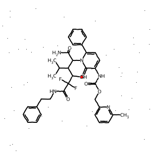 Cc1cccc(COC(=O)Nc2ccc(-c3ccccc3)n(C(C(N)=O)C(C(C)C)C(O)C(F)(F)C(=O)NCCc3ccccc3)c2=O)n1